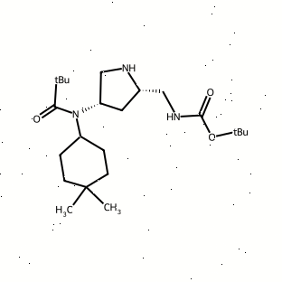 CC1(C)CCC(N(C(=O)C(C)(C)C)[C@@H]2CN[C@H](CNC(=O)OC(C)(C)C)C2)CC1